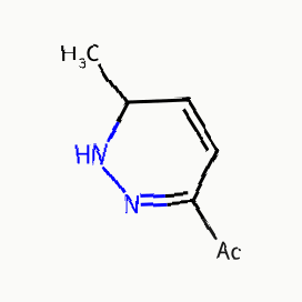 CC(=O)C1=NNC(C)C=C1